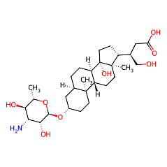 C[C@@H]1O[C@@H](O[C@H]2CC[C@@]3(C)[C@H](CC[C@@H]4[C@@H]3CC[C@]3(C)[C@@H]([C@H](CO)CC(=O)O)CC[C@]43O)C2)[C@H](O)[C@H](N)[C@H]1O